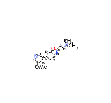 COc1cncc(-c2ccc3nc(/C=C/N(C)C)oc3c2)c1